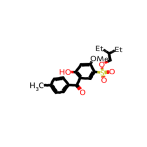 CCC(CC)COS(=O)(=O)c1cc(C(=O)c2ccc(C)cc2)c(O)cc1OC